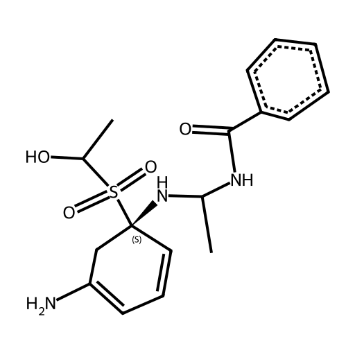 CC(NC(=O)c1ccccc1)N[C@@]1(S(=O)(=O)C(C)O)C=CC=C(N)C1